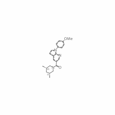 COc1ccc(-n2ccc3cc(C(=O)N4C[C@H](C)C[C@H](C)C4)cnc32)cc1